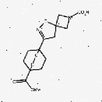 COC(=O)C12CCC(C3=NOC4(C3)CN(C(=O)O)C4)(CC1)CC2